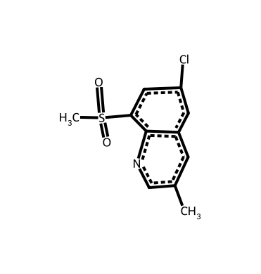 Cc1cnc2c(S(C)(=O)=O)cc(Cl)cc2c1